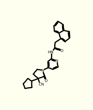 N#CC1(C2CCCC2)CCN(c2ccnc(NC(=O)Cc3cccc4ccccc34)c2)C1=O